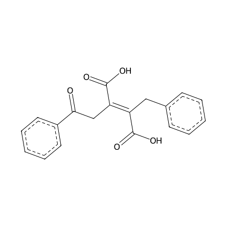 O=C(O)/C(CC(=O)c1ccccc1)=C(\Cc1ccccc1)C(=O)O